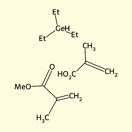 C=C(C)C(=O)O.C=C(C)C(=O)OC.C[CH2][GeH]([CH2]C)[CH2]C